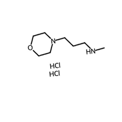 CNCCCN1CCOCC1.Cl.Cl